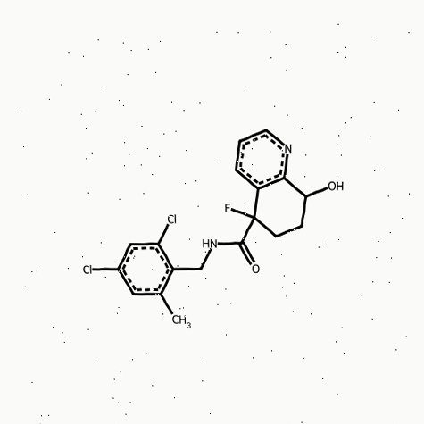 Cc1cc(Cl)cc(Cl)c1CNC(=O)C1(F)CCC(O)c2ncccc21